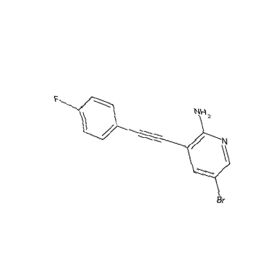 Nc1ncc(Br)cc1C#Cc1ccc(F)cc1